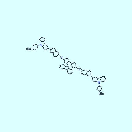 CC(C)(C)c1ccc(-n2c3ccccc3c3cc(-c4ccc5cc(/C=C/c6ccc7c(c6)C6(c8ccccc8-c8ccccc86)c6cc(/C=C/c8ccc9cc(-c%10ccc%11c(c%10)c%10ccccc%10n%11-c%10ccc(C(C)(C)C)cc%10)ccc9c8)ccc6-7)ccc5c4)ccc32)cc1